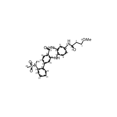 COCCC(=O)Nc1ccc2c(c1)NC(=O)c1ccc(-c3ccccc3N(C)S(C)(=O)=O)cc1N2